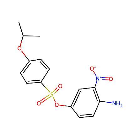 CC(C)Oc1ccc(S(=O)(=O)Oc2ccc(N)c([N+](=O)[O-])c2)cc1